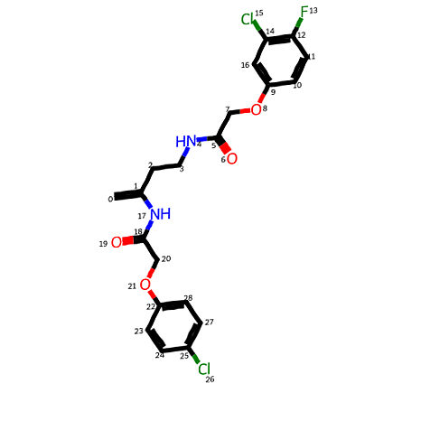 C=C(CCNC(=O)COc1ccc(F)c(Cl)c1)NC(=O)COc1ccc(Cl)cc1